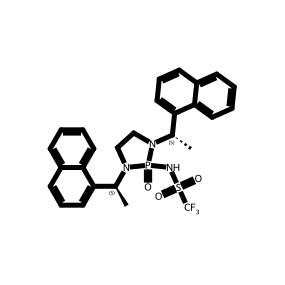 C[C@@H](c1cccc2ccccc12)N1CCN([C@@H](C)c2cccc3ccccc23)P1(=O)NS(=O)(=O)C(F)(F)F